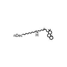 CCCCCCCCCCCCCCCCCCCNCCCC[C@H](C)CCC1C2CCC3CCCC[C@]3(C)C2CCC1(C)C